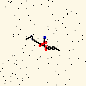 CCCCC/C=C\C/C=C\CCCCCCCC(=O)OCC(COC(=O)CCCN(C)C)COC(=O)C1CCC(C2CCC(CCCCC)CC2)CC1